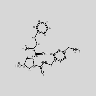 NCc1ccc(CNC(=O)C2CC(O)CN2C(=O)C(N)CCc2ccccc2)cc1